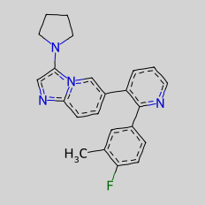 Cc1cc(-c2ncccc2-c2ccc3ncc(N4CCCC4)n3c2)ccc1F